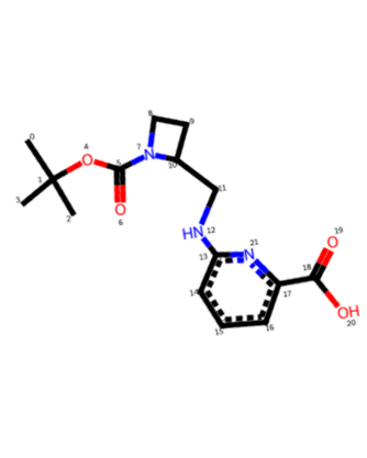 CC(C)(C)OC(=O)N1CCC1CNc1cccc(C(=O)O)n1